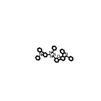 c1ccc(-c2nc(-c3ccc4c(c3)c3ccccc3n4-c3ccccc3)nc(-c3cccc4c3oc3c4ccc4c(-c5ccccc5)nc5ccccc5c43)n2)cc1